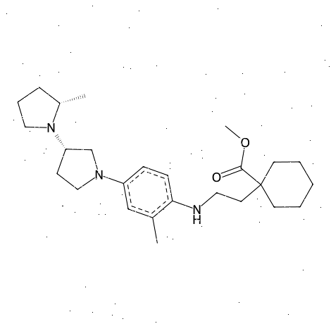 COC(=O)C1(CCNc2ccc(N3CC[C@H](N4CCC[C@@H]4C)C3)cc2C)CCCCC1